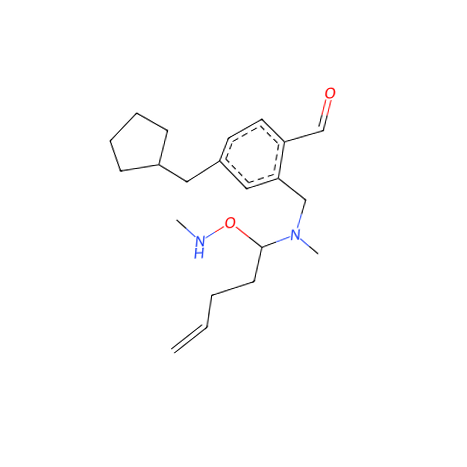 C=CCCC(ONC)N(C)Cc1cc(CC2CCCC2)ccc1C=O